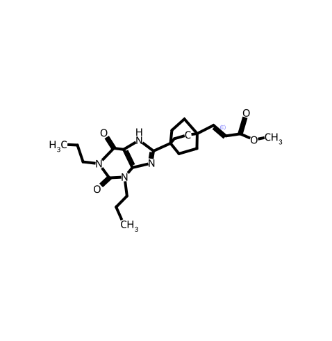 CCCn1c(=O)c2[nH]c(C34CCC(/C=C/C(=O)OC)(CC3)CC4)nc2n(CCC)c1=O